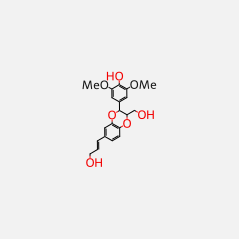 COc1cc(C2Oc3cc(/C=C/CO)ccc3OC2CO)cc(OC)c1O